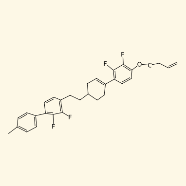 C=CCCOc1ccc(C2=CCC(CCc3ccc(-c4ccc(C)cc4)c(F)c3F)CC2)c(F)c1F